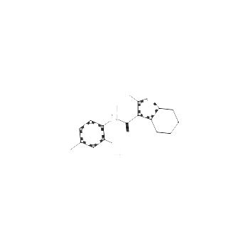 Cc1ccc(NC(=O)c2c(Br)sc3c2CCCC3)c(O)c1